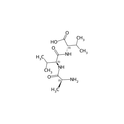 CC(C)[C@H](NC(=O)[C@@H](NC(=O)[C@H](C)N)C(C)C)C(=O)O